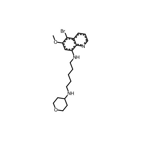 COc1cc(NCCCCCNC2CCOCC2)c2ncccc2c1Br